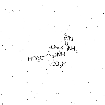 CCCCC(N)C(=O)NC(CC(=O)O)C(=O)O